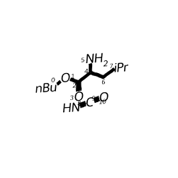 CCCCOC(=O)C(N)CC(C)C.N=C=O